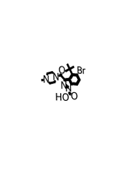 CN1CCN(C(=O)c2nn(C(=O)O)c3ccc(Br)c(C(C)(C)C)c23)CC1